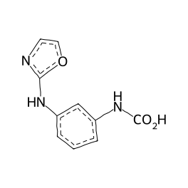 O=C(O)Nc1cccc(Nc2ncco2)c1